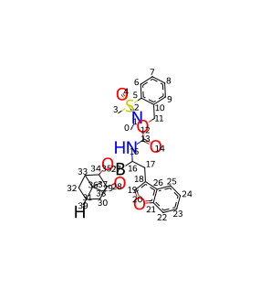 CN=S(C)(=O)c1ccccc1COC(=O)NC(Cc1coc2ccccc12)B1OC2C[C@@H]3CC(C2O1)C3(C)C